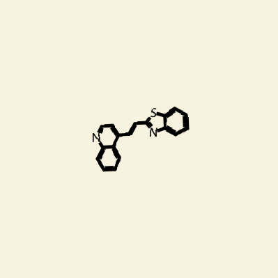 C(=Cc1ccnc2ccccc12)c1nc2ccccc2s1